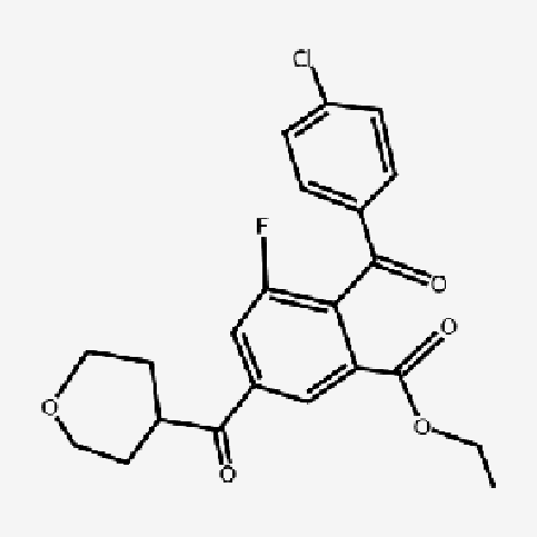 CCOC(=O)c1cc(C(=O)C2CCOCC2)cc(F)c1C(=O)c1ccc(Cl)cc1